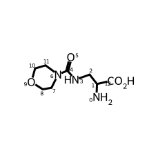 NC(CNC(=O)N1CCOCC1)C(=O)O